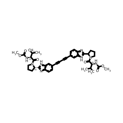 COC(=O)N[C@H](C(=O)N1CCCC1c1nc2ccc(C#CC#Cc3ccc4nc([C@@H]5CCCN5C(=O)[C@@H](NC(=O)OC)C(C)C)[nH]c4c3)cc2[nH]1)C(C)C